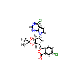 CC1(C)O[C@@H]2[C@@H]([C@@H]3OC(=O)c4cc(Cl)ccc43)C[C@@H](n3ccc4c(Cl)ncnc43)[C@@H]2O1